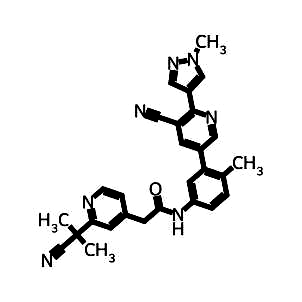 Cc1ccc(NC(=O)Cc2ccnc(C(C)(C)C#N)c2)cc1-c1cnc(-c2cnn(C)c2)c(C#N)c1